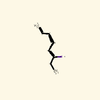 C=C/C=C\C=C(/I)CC